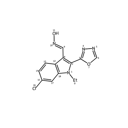 CCn1c(-c2nnco2)c(C=NO)c2ccc(Cl)cc21